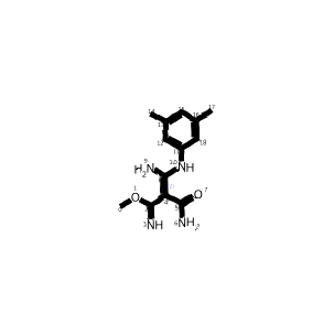 COC(=N)/C(C(N)=O)=C(\N)Nc1cc(C)cc(C)c1